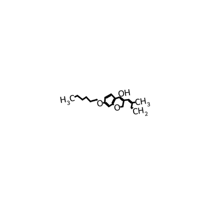 C=CC(C)=CC1=C(O)c2ccc(OCCCCCC)cc2OC1